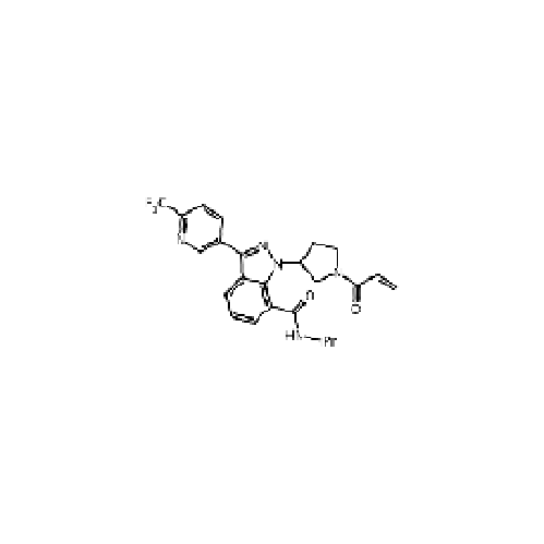 C=CC(=O)N1CCC(n2nc(-c3ccc(C(F)(F)F)nc3)c3cccc(C(=O)NC(C)C)c32)C1